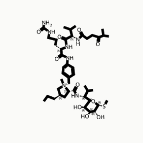 CCC[C@@H]1C[C@@H](C(=O)N[C@H](C(C)C)[C@H]2O[C@H](SC)[C@H](O)[C@@H](O)[C@H]2O)[N+](C)(Cc2ccc(NC(=O)[C@H](CCCNC(N)=O)NC(=O)[C@@H](NC(=O)CCC(=O)C(C)C)C(C)C)cc2)C1